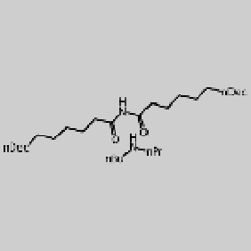 CCCCCCCCCCCCCCCC(=O)NC(=O)CCCCCCCCCCCCCCC.CCCCNCCC